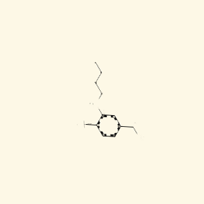 CCCCOc1cc(CBr)ccc1Cl